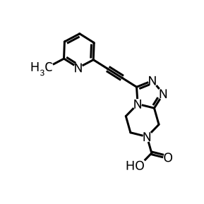 Cc1cccc(C#Cc2nnc3n2CCN(C(=O)O)C3)n1